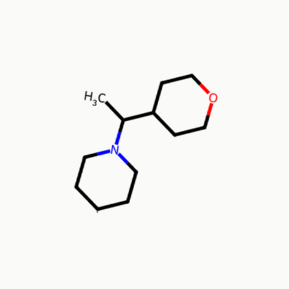 CC(C1CCOCC1)N1CC[CH]CC1